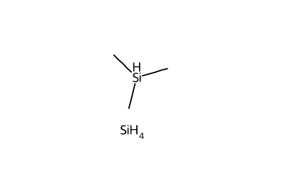 C[SiH](C)C.[SiH4]